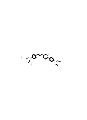 CCCC(CC=Cc1ccc(N(CCC)CCC)cc1)C(=O)C(C)=Cc1ccc(N(CCC)CCC)cc1